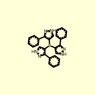 c1ccc(-c2n[nH]cc2B(c2c[nH]nc2-c2ccccc2)c2c[nH]nc2-c2ccccc2)cc1